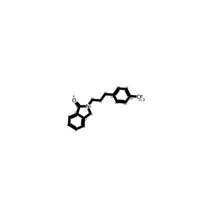 O=C1c2ccccc2CN1CCCc1ccc(C(F)(F)F)cc1